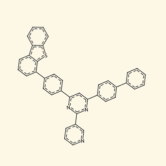 c1ccc(-c2ccc(-c3cc(-c4ccc(-c5cccc6c5sc5ccccc56)cc4)nc(-c4cccnc4)n3)cc2)cc1